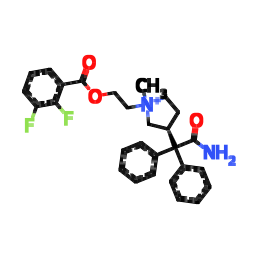 C[N+]1(CCOC(=O)c2cccc(F)c2F)CC[C@@H](C(C(N)=O)(c2ccccc2)c2ccccc2)C1